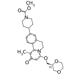 COC(=O)N1CCC(c2ccc3c(c2)CCn2c(OC[C@@H]4COCCO4)cc(=O)c(C)c2-3)CC1